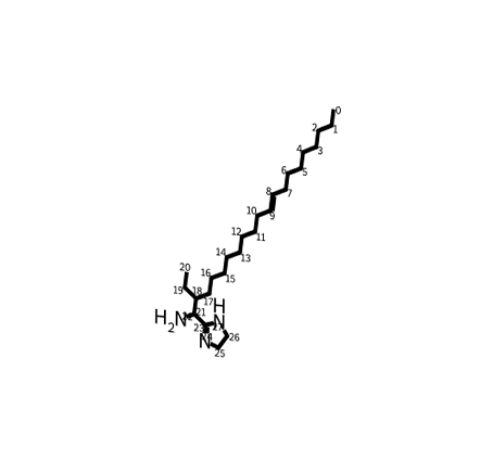 CCCCCCCCC=CCCCCCCCCC(CC)C(N)C1=NCCN1